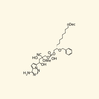 CCCCCCCCCCCCCCCCCC[C@@H](COP(=O)(O)OCC(C#N)(OC)[C@@H](O)[C@@H](O)c1ccc2c(N)ncnn12)OCc1ccccc1